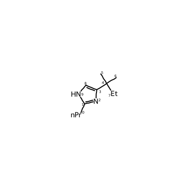 CCCc1nc(C(C)(C)CC)c[nH]1